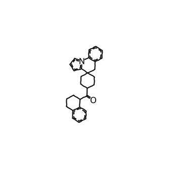 O=C(C1CCC2(CC1)Cc1ccccc1-n1cccc12)C1CCCc2ccccc21